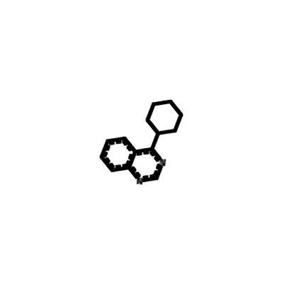 c1ccc2c(C3CCCCC3)ncnc2c1